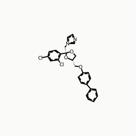 Clc1ccc([C@@]2(Cn3ccnc3)OC[C@H](COc3ccc(-c4ccccc4)cc3)O2)c(Cl)c1